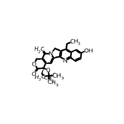 C=C1C2=C(C=C3c4nc5ccc(O)cc5c(CC)c4CN13)[C@](CC)(OC(C)(C)C)C(=O)OC2